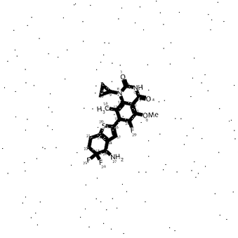 COC1=c2c(=O)[nH]c(=O)n(C3CC3)c2=C(C)C(c2cc3c(s2)CCC(F)(F)C3N)C1F